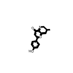 CC1C=c2oc(-c3ccc(O)cc3)cc(=O)c2=NC1